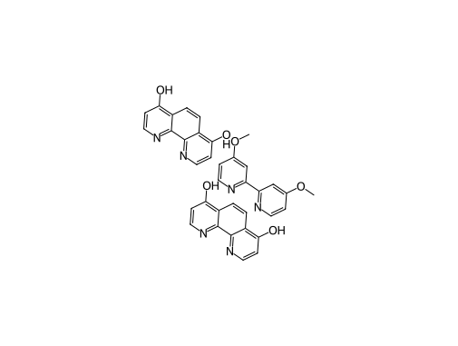 COc1ccnc(-c2cc(OC)ccn2)c1.Oc1ccnc2c1ccc1c(O)ccnc12.Oc1ccnc2c1ccc1c(O)ccnc12